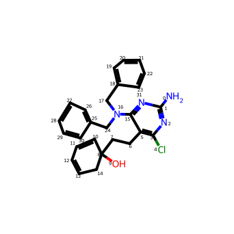 Nc1nc(Cl)c(CCC2(O)C=CC=CC2)c(N(Cc2ccccc2)Cc2ccccc2)n1